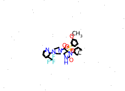 COc1cccc(S(=O)(=O)C2(C(=O)N3CCN(c4ncccc4C(F)(F)F)CC3)CNC(=O)N2c2ccccc2)c1